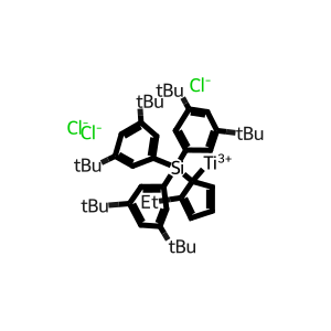 CCC1=CC=C[C]1([Ti+3])[Si](c1cc(C(C)(C)C)cc(C(C)(C)C)c1)(c1cc(C(C)(C)C)cc(C(C)(C)C)c1)c1cc(C(C)(C)C)cc(C(C)(C)C)c1.[Cl-].[Cl-].[Cl-]